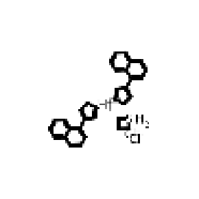 C1=[C]([Hf+2][C]2=CC(c3cccc4ccccc34)=CC2)CC=C1c1cccc2ccccc12.C1C[SiH2]C1.[Cl-].[Cl-]